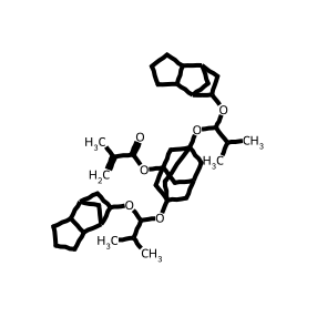 C=C(C)C(=O)OC12CC3CC(OC(OC4CC5CC4C4CCCC54)C(C)C)(C1)CC(OC(OC1CC4CC1C1CCCC41)C(C)C)(C3)C2